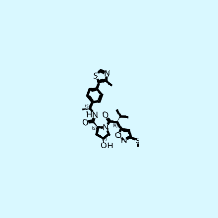 CSc1cc([C@H](C(=O)N2C[C@H](O)C[C@H]2C(=O)N[C@@H](C)c2ccc(-c3scnc3C)cc2)C(C)C)on1